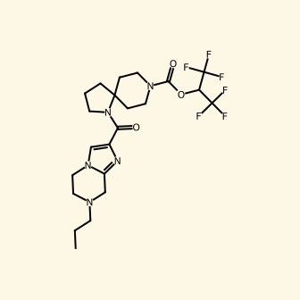 CCCN1CCn2cc(C(=O)N3CCCC34CCN(C(=O)OC(C(F)(F)F)C(F)(F)F)CC4)nc2C1